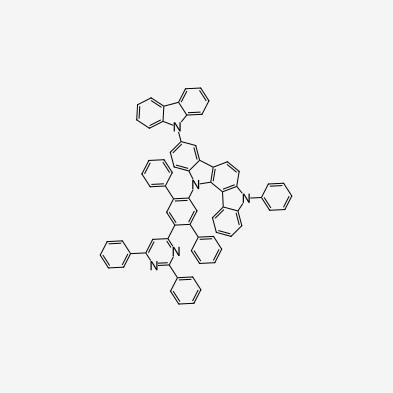 c1ccc(-c2cc(-c3cc(-c4ccccc4)c(-n4c5ccc(-n6c7ccccc7c7ccccc76)cc5c5ccc6c(c7ccccc7n6-c6ccccc6)c54)cc3-c3ccccc3)nc(-c3ccccc3)n2)cc1